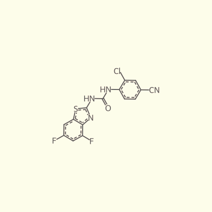 N#Cc1ccc(NC(=O)Nc2nc3c(F)cc(F)cc3s2)c(Cl)c1